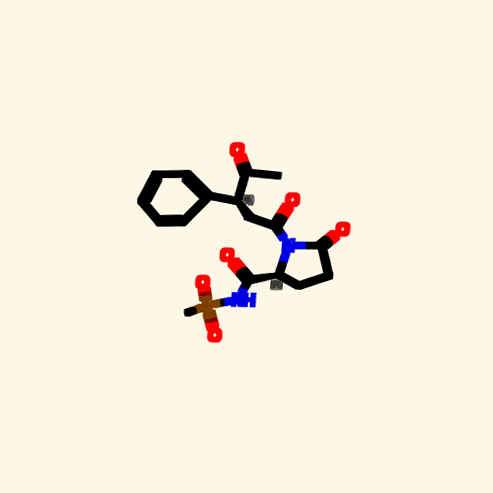 CC(=O)[C@@H](CC(=O)N1C(=O)CC[C@H]1C(=O)NS(C)(=O)=O)c1ccccc1